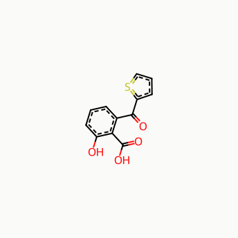 O=C(c1cccs1)c1cccc(O)c1C(=O)O